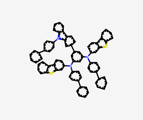 c1ccc(-c2ccc(N(c3cc(-c4ccc5c6ccccc6n(-c6ccc(-c7ccccc7)cc6)c5c4)cc(N(c4ccc(-c5ccccc5)cc4)c4ccc5c(c4)sc4ccccc45)c3)c3ccc4c(c3)sc3ccccc34)cc2)cc1